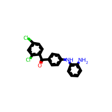 Nc1ccccc1Nc1ccc(C(=O)c2ccc(Cl)cc2Cl)cc1